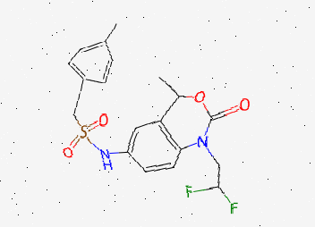 Cc1ccc(CS(=O)(=O)Nc2ccc3c(c2)C(C)OC(=O)N3CC(F)F)cc1